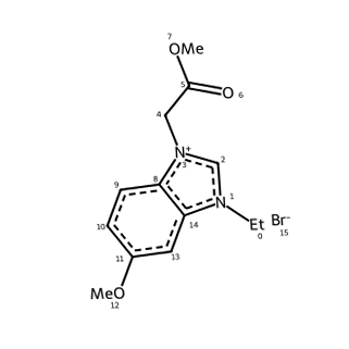 CCn1c[n+](CC(=O)OC)c2ccc(OC)cc21.[Br-]